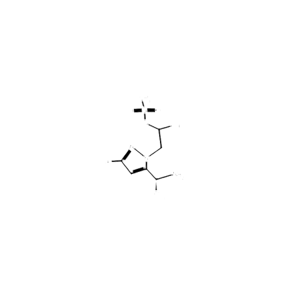 CC(Cn1nc(Br)cc1[C@H](C)N)OS(C)(=O)=O